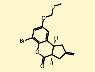 C=C1C[C@@H]2c3cc(OCOC)cc(Br)c3OC(=O)[C@@H]2C1